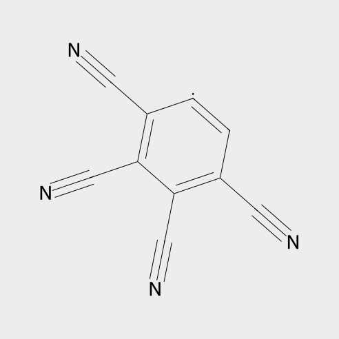 N#Cc1[c]cc(C#N)c(C#N)c1C#N